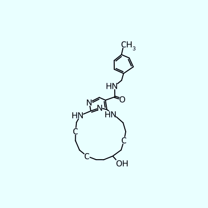 Cc1ccc(CNC(=O)c2cnc3nc2NCCCCC(O)CCCCCCCN3)cc1